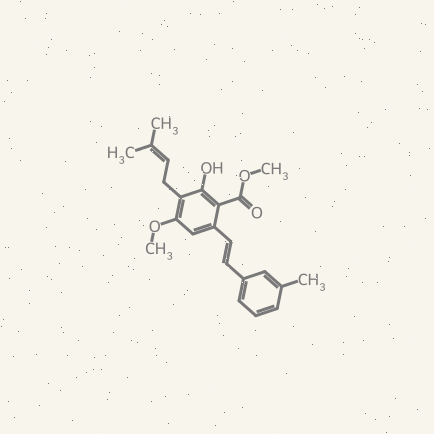 COC(=O)c1c(/C=C/c2cccc(C)c2)cc(OC)c(CC=C(C)C)c1O